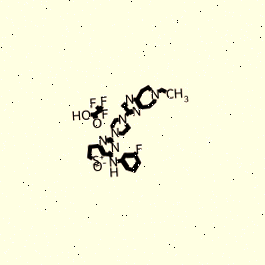 CCN1CCc2ncc(N3CCN(c4nc5c(c(Nc6cccc(F)c6)n4)[S+]([O-])CC5)CC3)nc2CC1.O=C(O)C(F)(F)F